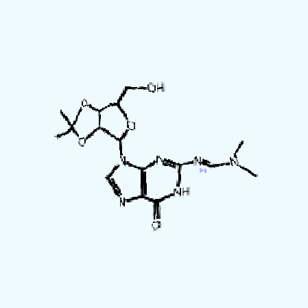 CN(C)/C=N/c1nc2c(ncn2C2OC(CO)C3OC(C)(C)OC32)c(=O)[nH]1